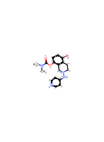 CN(C)C(=O)Oc1ccc(Br)c2c1CN(Nc1ccncc1)CC2